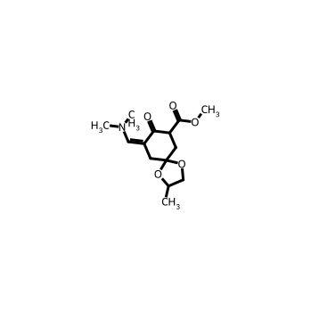 COC(=O)C1CC2(CC(=CN(C)C)C1=O)OCC(C)O2